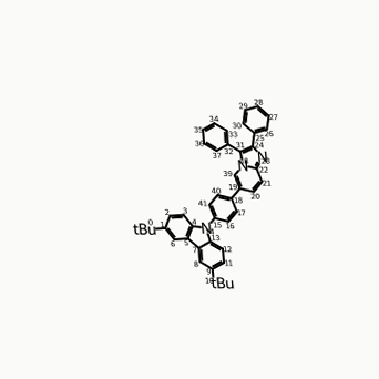 CC(C)(C)c1ccc2c(c1)c1cc(C(C)(C)C)ccc1n2-c1ccc(-c2ccc3nc(-c4ccccc4)c(-c4ccccc4)n3c2)cc1